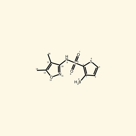 Bc1ccsc1S(=O)(=O)Nc1noc(C)c1C